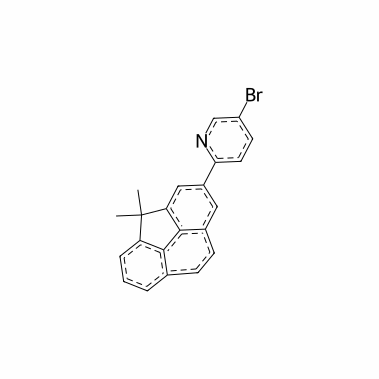 CC1(C)c2cccc3ccc4cc(-c5ccc(Br)cn5)cc1c4c23